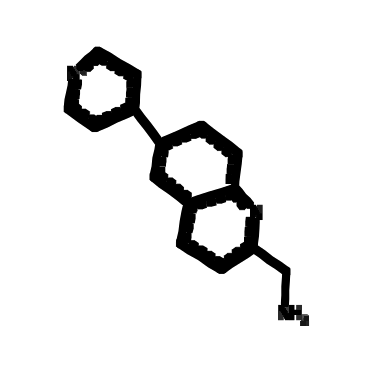 NCc1ccc2cc(-c3ccncc3)ccc2n1